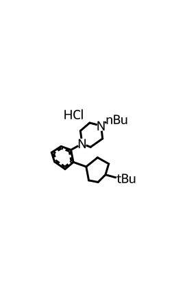 CCCCN1CCN(c2ccccc2C2CCC(C(C)(C)C)CC2)CC1.Cl